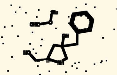 CC(C)(C)OC=O.OC[C@@H]1CC(O)(Cc2ccccc2)CN1